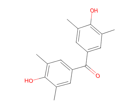 Cc1cc(C(=O)c2cc(C)c(O)c(C)c2)cc(C)c1O